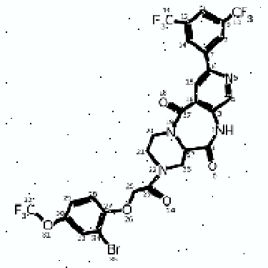 O=C1Nc2cnc(-c3cc(C(F)(F)F)cc(C(F)(F)F)c3)cc2C(=O)N2CCN(C(=O)COc3ccc(OC(F)(F)F)cc3Br)CC12